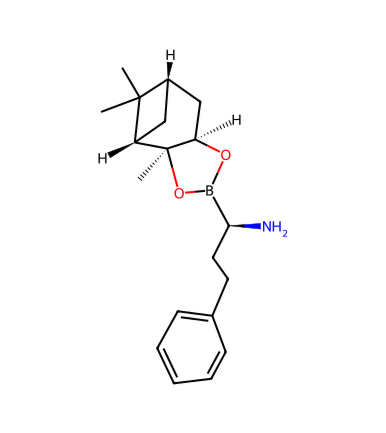 CC1(C)[C@@H]2C[C@H]3OB([C@@H](N)CCc4ccccc4)O[C@@]3(C)[C@H]1C2